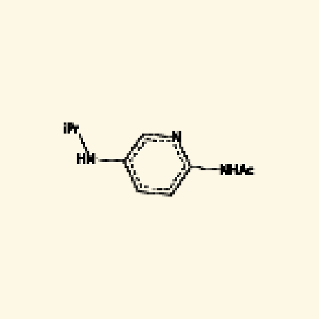 CC(=O)Nc1ccc(NC(C)C)cn1